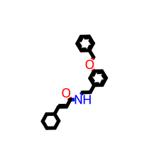 O=C(/C=C/C1CCCCC1)NCCc1cccc(OCc2ccccc2)c1